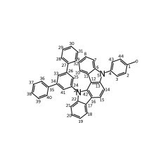 Cc1ccc(-n2c3ccccc3c3c2ccc2c4ccccc4n(-c4cc(-c5ccccc5)cc(-c5ccccc5)c4)c23)cc1